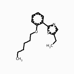 [CH2]Cc1cnc(-c2ccccc2OCCCCCC)s1